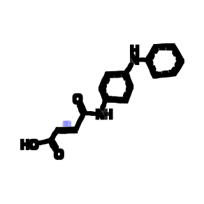 O=C(O)/C=C/C(=O)Nc1ccc(Nc2ccccc2)cc1